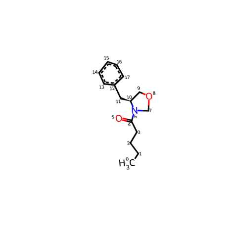 CCCCC(=O)N1COC[C@@H]1Cc1ccccc1